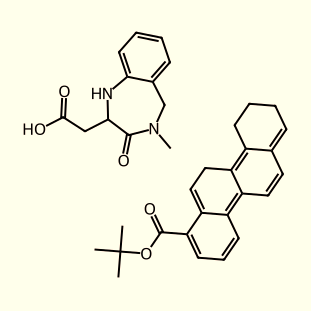 CC(C)(C)OC(=O)c1cccc2c1=CCc1c3c(ccc1=2)=CCCC3.CN1Cc2ccccc2NC(CC(=O)O)C1=O